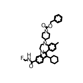 Cc1ccc2c(c1)N(C1CCN(C(=O)OCc3ccccc3)CC1)CCn1c-2c(C2CCCCC2)c2ccc(C(=O)NCF)cc21